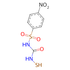 O=C(NS)NS(=O)(=O)c1ccc([N+](=O)[O-])cc1